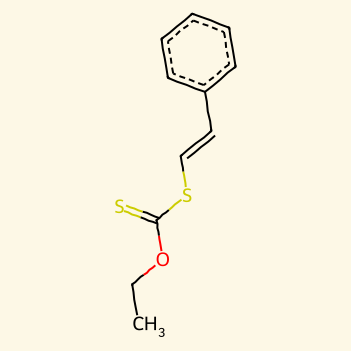 CCOC(=S)SC=Cc1ccccc1